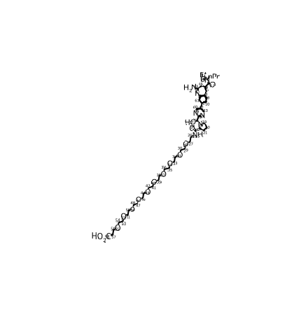 CCCN(OCC)C(=O)C1=Cc2ccc(-c3cnc(C(O)N4CCC[C@@H]4C(=O)NCCOCCOCCOCCOCCOCCOCCOCCOCCOCCOCCC(=O)O)nc3)cc2N=C(N)C1